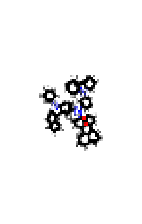 c1ccc(-c2cccc3cccc(-c4ccc(N(c5cccc(-n6c7ccccc7c7ccccc76)c5)c5ccc6c(c5)c5c7ccccc7ccc5n6-c5ccccc5)cc4)c23)cc1